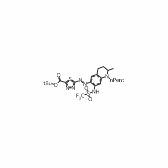 CCCCCN1c2cc(NS(=O)(=O)C(F)(F)F)c(N=Nc3nnc(C(=O)OC(C)(C)C)s3)cc2CCC1C